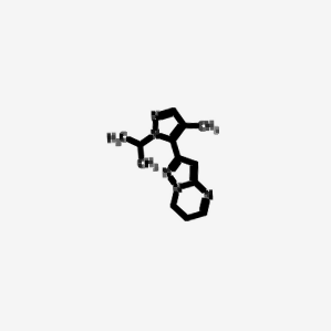 Cc1cnn(C(C)C)c1-c1cc2n(n1)CCC=N2